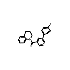 O=C(c1cncc(-c2ccc(F)cc2)c1)N1CCCc2ccccc21